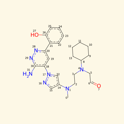 CN(CCN(CC=O)C1CCCCC1)c1cnn(-c2cc(-c3ccccc3O)nnc2N)c1